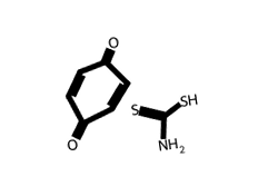 NC(=S)S.O=C1C=CC(=O)C=C1